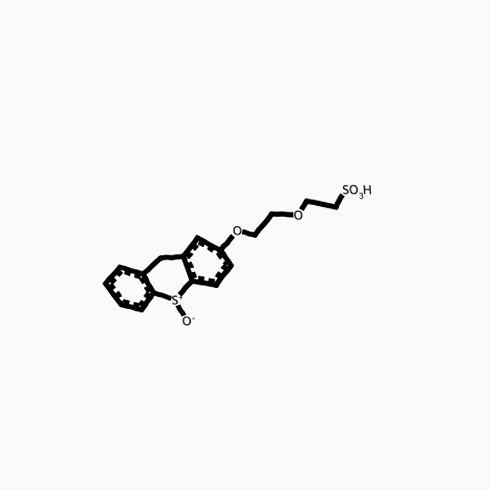 O=S(=O)(O)CCOCCOc1ccc2c(c1)Cc1ccccc1[S+]2[O-]